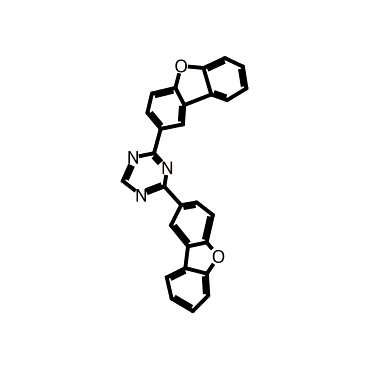 c1ccc2c(c1)oc1ccc(-c3ncnc(-c4ccc5oc6ccccc6c5c4)n3)cc12